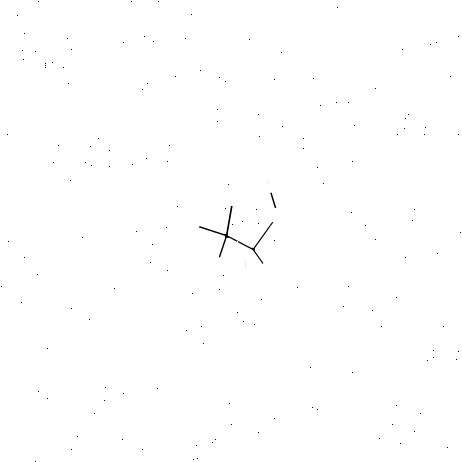 CC(=O)SC(C)C(C)(C)C(=O)O